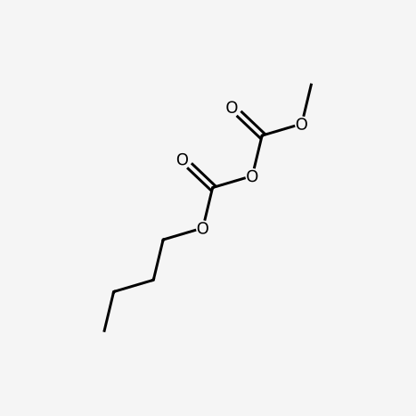 CCCCOC(=O)OC(=O)OC